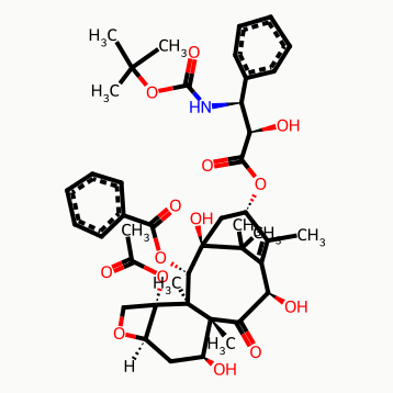 CC(=O)O[C@@]12CO[C@@H]1C[C@H](O)[C@@]1(C)C(=O)[C@H](O)C3=C(C)[C@@H](OC(=O)[C@H](O)[C@@H](NC(=O)OC(C)(C)C)c4ccccc4)C[C@@](O)([C@@H](OC(=O)c4ccccc4)[C@]21C)C3(C)C